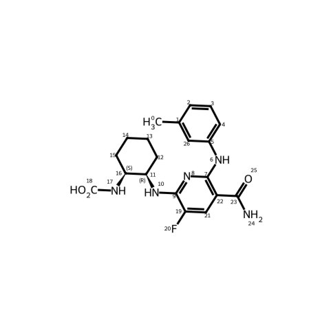 Cc1cccc(Nc2nc(N[C@@H]3CCCC[C@@H]3NC(=O)O)c(F)cc2C(N)=O)c1